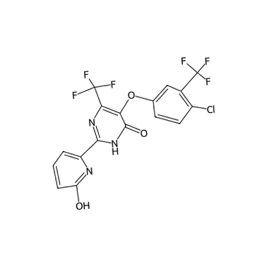 O=c1[nH]c(-c2cccc(O)n2)nc(C(F)(F)F)c1Oc1ccc(Cl)c(C(F)(F)F)c1